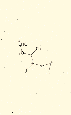 O=COC(Cl)C(F)C1CC1